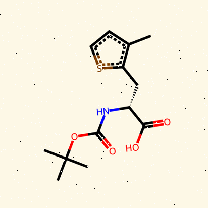 Cc1ccsc1C[C@@H](NC(=O)OC(C)(C)C)C(=O)O